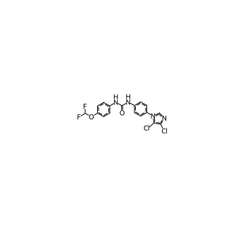 O=C(Nc1ccc(OC(F)F)cc1)Nc1ccc(-n2cnc(Cl)c2Cl)cc1